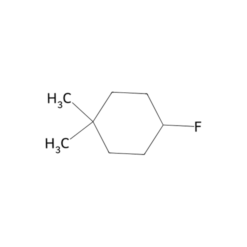 CC1(C)CCC(F)CC1